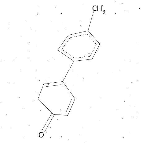 Cc1ccc(C2=CCC(=O)C=C2)cc1